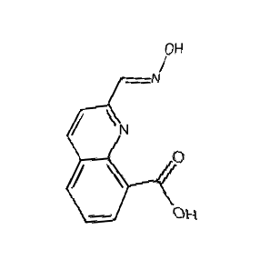 O=C(O)c1cccc2ccc(C=NO)nc12